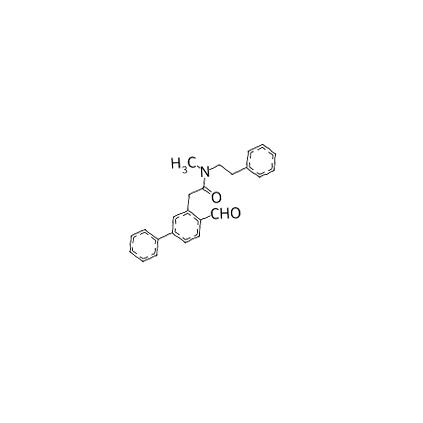 CN(CCc1ccccc1)C(=O)Cc1cc(-c2ccccc2)ccc1C=O